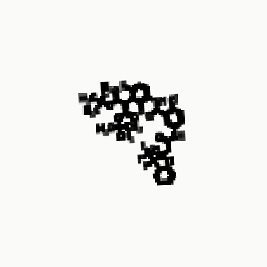 CC(C)(C)OC(=O)N(C(=O)OC(C)(C)C)c1c(F)ccc(NC(=O)c2cc(NC(=O)CC(Cl)(Cl)C(F)(c3ccccc3)C(F)(F)F)ccc2Cl)c1F